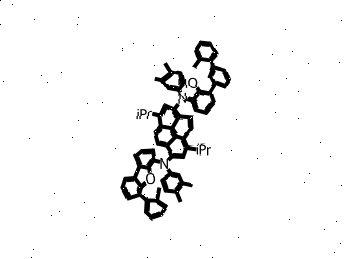 Cc1ccc(N(c2cccc(-c3cccc(-c4ccccc4C)c3)c2O)c2cc(C(C)C)c3ccc4c(N(c5ccc(C)c(C)c5)c5cccc6c5oc5c(-c7ccccc7C)cccc56)cc(C(C)C)c5ccc2c3c54)cc1C